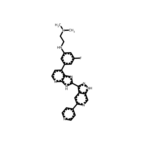 CN(C)CCNc1cc(F)cc(-c2ccnc3[nH]c(-c4n[nH]c5cnc(-c6ccncc6)cc45)nc23)c1